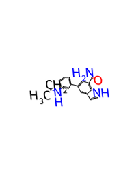 C=C(C)Nc1cccc(-c2cc(C(N)=O)c3[nH]ccc3c2)c1